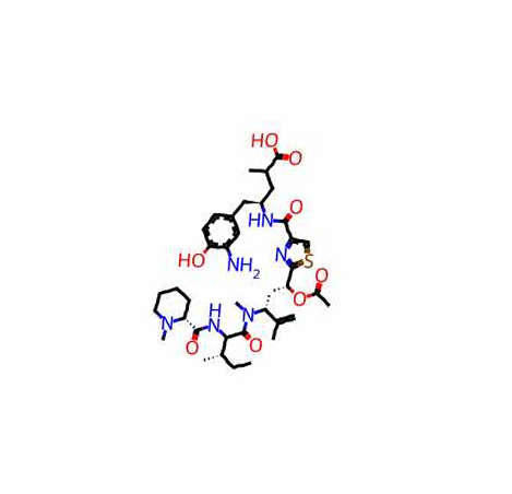 C=C(C)[C@@H](C[C@@H](OC(C)=O)c1nc(C(=O)N[C@@H](Cc2ccc(O)c(N)c2)CC(C)C(=O)O)cs1)N(C)C(=O)C(NC(=O)[C@H]1CCCCN1C)[C@@H](C)CC